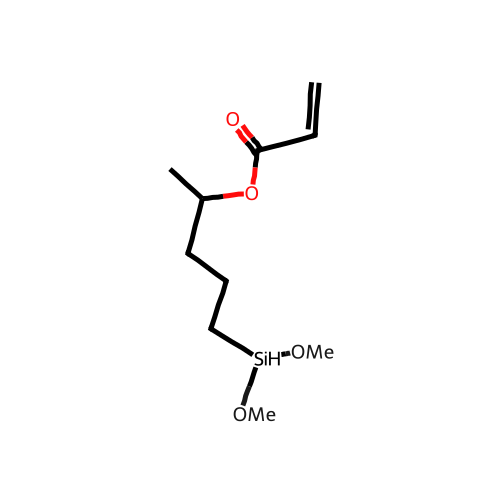 C=CC(=O)OC(C)CCC[SiH](OC)OC